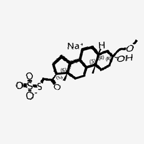 COC[C@@]1(O)CC[C@]2(C)C3CC[C@@]4(C)C(CC[C@@H]4C(=O)CSS(=O)(=O)[O-])C3CC[C@@H]2C1.[Na+]